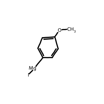 COc1cc[c]([Mg][I])cc1